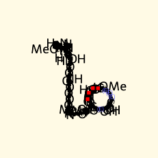 COc1cccc2cc(-c3nc([C@H]4CC[C@H](C(O)NCCOCCOCCNC(=O)CCOCCOCCOCCOCCn5cc(CCCCO[C@@H]6CC[C@@H](C[C@@H](C)[C@@H]7C[C@@H](OC)[C@H](C)/C=C(\C)[C@@H](O)[C@@H](O)C(=O)[C@H](C)C[C@H](C)/C=C/C=C/C=C(\C)[C@@H](OC)C[C@@H]8CC[C@@H](C)[C@@](O)(O8)C(=O)C(=O)N8CCCC[C@H]8C(=O)O7)C[C@H]6OC)nn5)CC4)n4ncnc(N)c34)[nH]c12